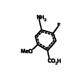 COc1cc(N)c(F)cc1C(=O)O